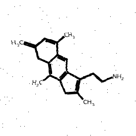 C=C1C=C(C)c2cc3c(c(C)c2C1)CC(C)=C3CCN